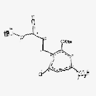 COc1cc(C(=O)O)cc(Cl)c1CCC(=O)OC(C)(C)C